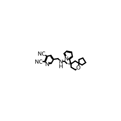 N#Cc1cc(CNCC[C@@]2(c3ccccn3)CCOC3(CCCC3)C2)cnc1C#N